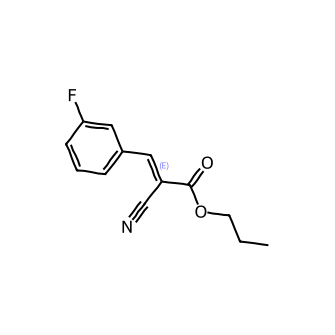 CCCOC(=O)/C(C#N)=C/c1cccc(F)c1